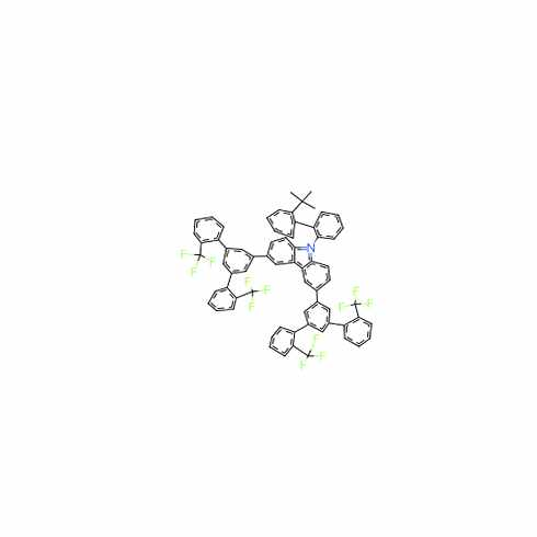 CC(C)(C)c1ccccc1-c1ccccc1-n1c2ccc(-c3cc(-c4ccccc4C(F)(F)F)cc(-c4ccccc4C(F)(F)F)c3)cc2c2cc(-c3cc(-c4ccccc4C(F)(F)F)cc(-c4ccccc4C(F)(F)F)c3)ccc21